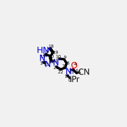 CC(C)CN(C(=O)CC#N)C1CCCN(c2ncnc3[nH]ccc23)CC1